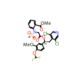 COC(=O)c1ccccc1N(CC(=O)O[C@@H](Cc1c(Cl)cncc1Cl)c1ccc(OC(F)F)c(OC)c1)S(C)(=O)=O